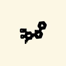 O=Nc1cn(-c2cccc(-c3ccccc3)n2)cc(F)c1=O